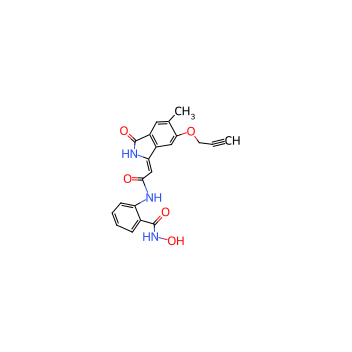 C#CCOc1cc2c(cc1C)C(=O)N/C2=C\C(=O)Nc1ccccc1C(=O)NO